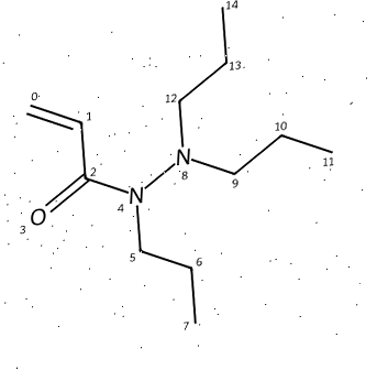 C=CC(=O)N(CCC)N(CCC)CCC